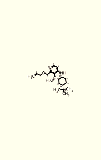 C=CCOCc1nccc(N[C@H]2CC[C@@H](C(C)(C)C)CC2)c1OC